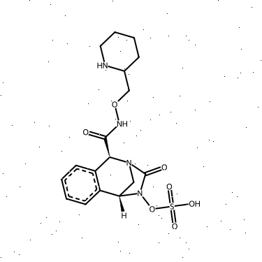 O=C(NOCC1CCCCN1)[C@@H]1c2ccccc2[C@@H]2CN1C(=O)N2OS(=O)(=O)O